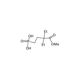 CCC(CC)(CCP(=O)(O)O)C(=O)OC